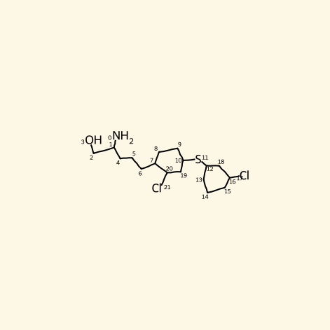 NC(CO)CCCC1CCC(SC2CCCC(Cl)C2)CC1Cl